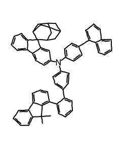 CC1(C)c2ccccc2-c2cccc(-c3ccccc3-c3ccc(N(c4ccc(-c5cccc6ccccc56)cc4)c4ccc5c(c4)C4(c6ccccc6-5)C5CC6CC(C5)CC4C6)cc3)c21